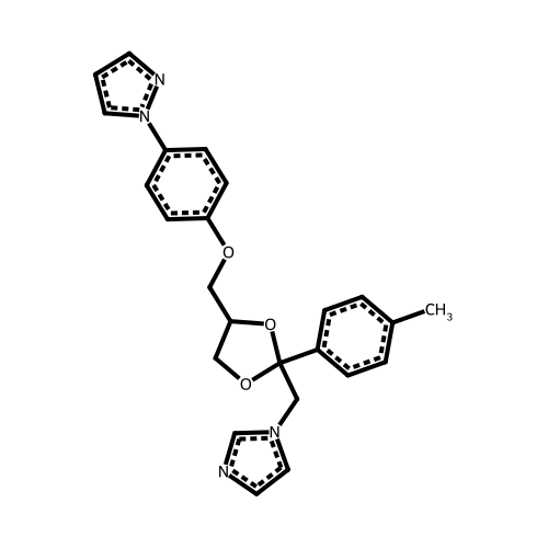 Cc1ccc(C2(Cn3ccnc3)OCC(COc3ccc(-n4cccn4)cc3)O2)cc1